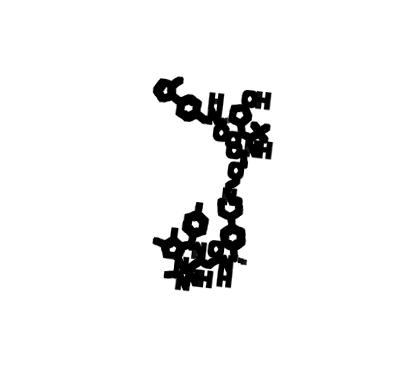 CC1=NNC2C(CC(=O)N[C@@H](C)c3ccc(C4CCN(CCOCC(=O)N[C@H](C(=O)C5CC(O)C[C@H]5C(=O)NCc5ccc(C6=C(C)C=CC6)cc5)C(C)(C)C)CC4)cc3)N=C(c3ccc(C)cc3)C3=C(CC(C)=C3C)N12